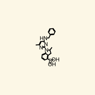 Cc1cc(NCc2ccccc2)nc(N2c3cccc(B(O)O)c3CC2C)n1